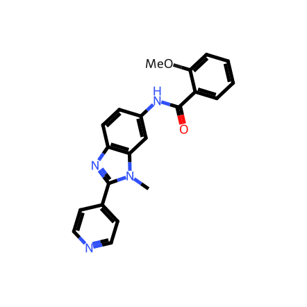 COc1ccccc1C(=O)Nc1ccc2nc(-c3ccncc3)n(C)c2c1